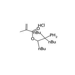 C=C(C)C(=O)OC(CCCC)C(P)(CCCC)CCCC.Cl